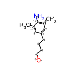 Cc1cc(CCCC[O])cc(C)c1N